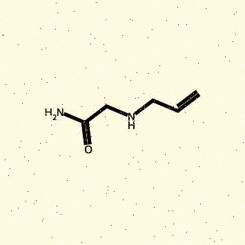 C=CCNCC(N)=O